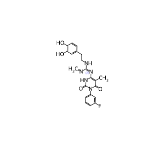 C=N/C(=N\c1[nH]c(=O)n(-c2cccc(F)c2)c(=O)c1C)NCCc1ccc(O)c(O)c1